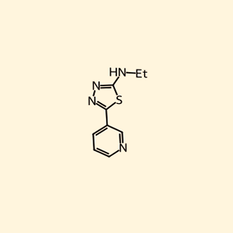 CCNc1nnc(-c2cccnc2)s1